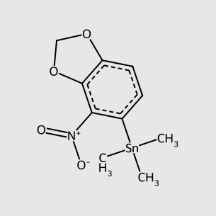 [CH3][Sn]([CH3])([CH3])[c]1ccc2c(c1[N+](=O)[O-])OCO2